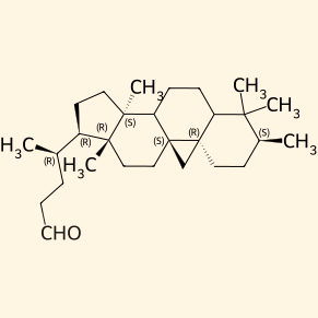 C[C@H](CCC=O)[C@H]1CC[C@@]2(C)C3CCC4C(C)(C)[C@@H](C)CC[C@@]45C[C@@]35CC[C@]12C